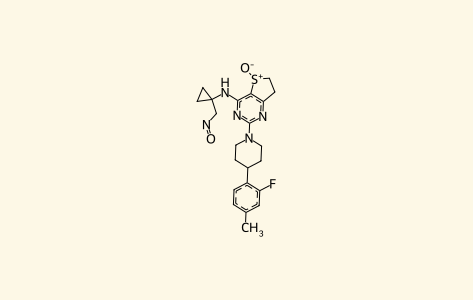 Cc1ccc(C2CCN(c3nc4c(c(NC5(CN=O)CC5)n3)[S+]([O-])CC4)CC2)c(F)c1